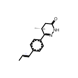 C/C=C/c1ccc(C2=NNC(=O)C[C@H]2C)cc1